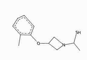 Cc1ccccc1OC1CN(C(C)S)C1